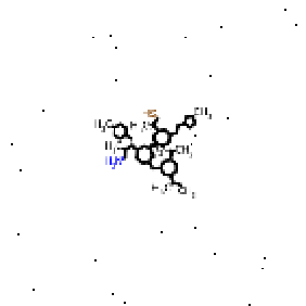 CC[C@H](C)C1CCC(C(C)C)CC(CC2CCC([C@@H](CC3CCC(C)CC3)C(C)CN)CC(C3CCC(CCC4CCC(C)C4)CC([C@H](C)CS)C3)C2)C1